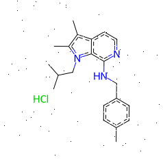 Cc1ccc(CNc2nccc3c(C)c(C)n(CC(C)C)c23)cc1.Cl